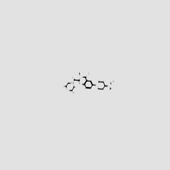 CCCC(c1nc2ccc(N3CCC(N(C)C)CC3)cc2c(=O)n1CC)N1C[C@@H](C)N[C@@H](C)C1